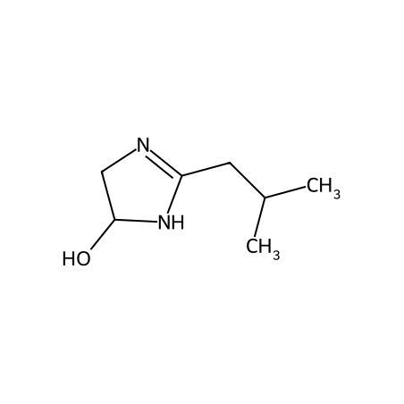 CC(C)CC1=NCC(O)N1